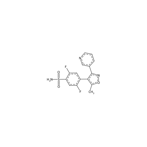 Cc1onc(-c2cccnc2)c1-c1cc(F)c(S(N)(=O)=O)cc1F